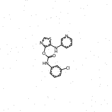 O=C(Nc1cccc(Cl)c1)Oc1ncsc1Nc1cccnc1